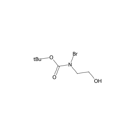 CC(C)(C)OC(=O)N(Br)CCO